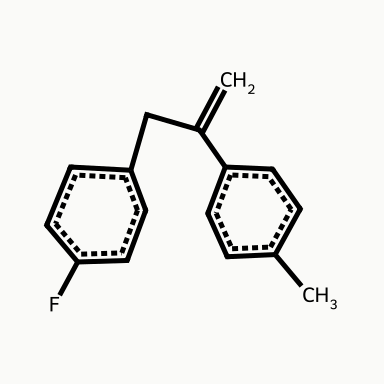 C=C(Cc1ccc(F)cc1)c1ccc(C)cc1